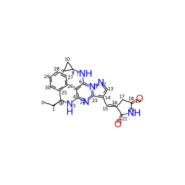 CC[C@H](Nc1cc(NC2CC2)n2ncc(C=C3CC(=O)NC3=O)c2n1)c1ccccc1